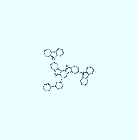 c1ccc(-c2cccc(-c3cc4c5cc(-n6c7ccccc7c7ccccc76)ccc5sc4c4c3sc3ccc(-n5c6ccccc6c6ccccc65)cc34)c2)cc1